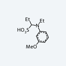 CCC(N(CC)c1cccc(OC)c1)S(=O)(=O)O